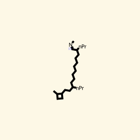 CCCC(/C=N\C)CCCCCCCCC(CCC)CCC1CCC1C